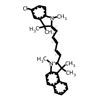 CN1/C(=C/C=C/C=C/C2=[N+](C)c3ccc4ccccc4c3C2(C)C)C(C)(C)c2cc(Cl)ccc21